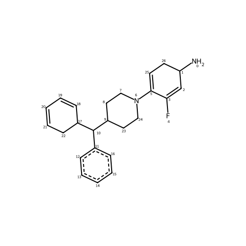 NC1C=C(F)C(N2CCC(C(c3ccccc3)C3C=CC=CC3)CC2)=CC1